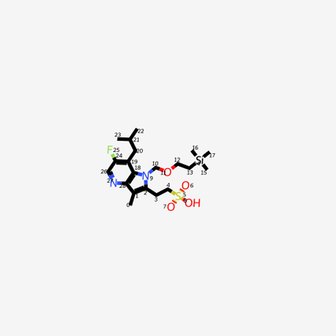 Cc1c(CCS(=O)(=O)O)n(COCC[Si](C)(C)C)c2c(CC(C)C)c(F)cnc12